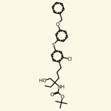 CCC(CO)(CCCc1ccc(Sc2cccc(OCc3ccccc3)c2)cc1Cl)NC(=O)OC(C)(C)C